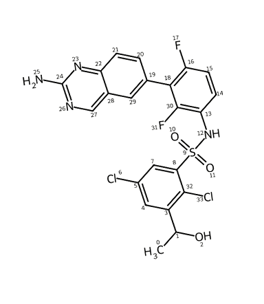 CC(O)c1cc(Cl)cc(S(=O)(=O)Nc2ccc(F)c(-c3ccc4nc(N)ncc4c3)c2F)c1Cl